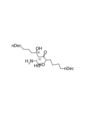 CCCCCCCCCCCCCCC(O)C(=O)[C@H](C(N)O)[C@H](O)CCCCCCCCCCCCC